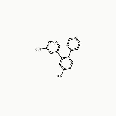 O=[N+]([O-])c1cccc(-c2cc([N+](=O)[O-])ccc2-c2ccccc2)c1